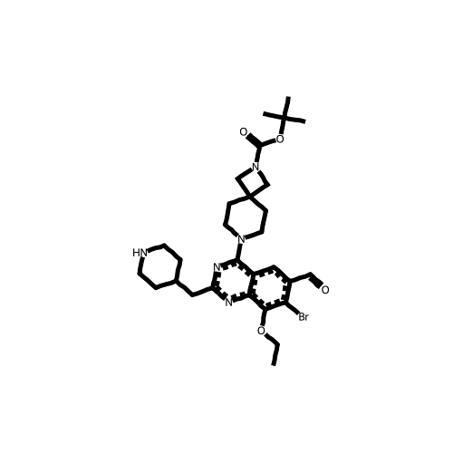 CCOc1c(Br)c(C=O)cc2c(N3CCC4(CC3)CN(C(=O)OC(C)(C)C)C4)nc(CC3CCNCC3)nc12